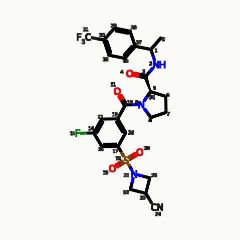 CC(NC(=O)[C@H]1CCCN1C(=O)c1cc(F)cc(S(=O)(=O)N2CC(C#N)C2)c1)c1ccc(C(F)(F)F)cc1